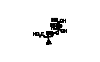 O=C(O)CC(O)(CCO[PH](O)(O)O[PH](O)(O)O)C1CC1